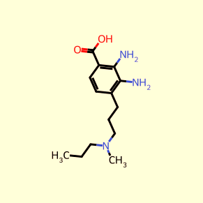 CCCN(C)CCCc1ccc(C(=O)O)c(N)c1N